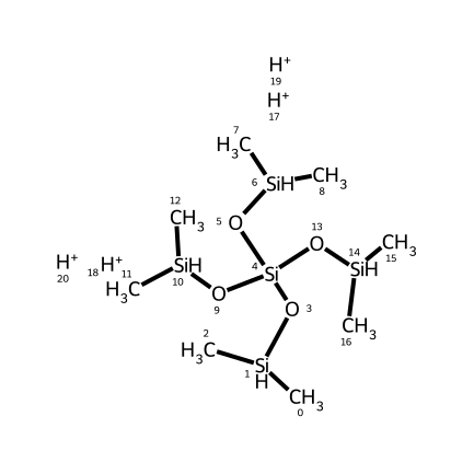 C[SiH](C)O[Si](O[SiH](C)C)(O[SiH](C)C)O[SiH](C)C.[H+].[H+].[H+].[H+]